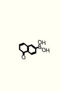 O=C1CC=Cc2cc(B(O)O)ccc21